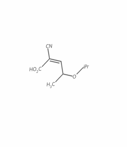 CC(C)OC(C)C=C(C#N)C(=O)O